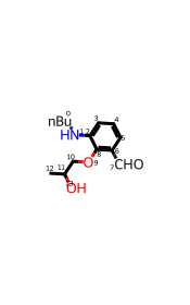 CCCCNc1cccc(C=O)c1OCC(C)O